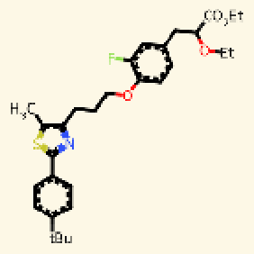 CCOC(=O)C(Cc1ccc(OCCCc2nc(-c3ccc(C(C)(C)C)cc3)sc2C)c(F)c1)OCC